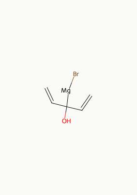 C=C[C](O)(C=C)[Mg][Br]